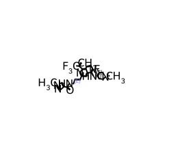 C=C(c1nc(/C=C/CNC(=O)c2cnn(C)c2)cc2c(N[C@@H]3CCN(C)C[C@@H]3F)nccc12)C(F)(F)F